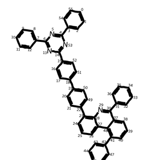 c1ccc(-c2nc(-c3ccccc3)nc(-c3ccc(-c4ccc(-c5cccc6c5nc(-c5ccccc5)c5cccc(-c7ccccc7)c56)cc4)cc3)n2)cc1